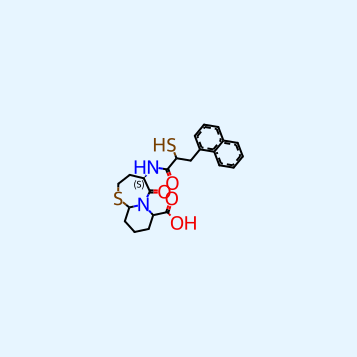 O=C(N[C@H]1CCSC2CCCC(C(=O)O)N2C1=O)C(S)Cc1cccc2ccccc12